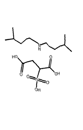 CC(C)CCNCCC(C)C.O=C(O)CC(C(=O)O)S(=O)(=O)O